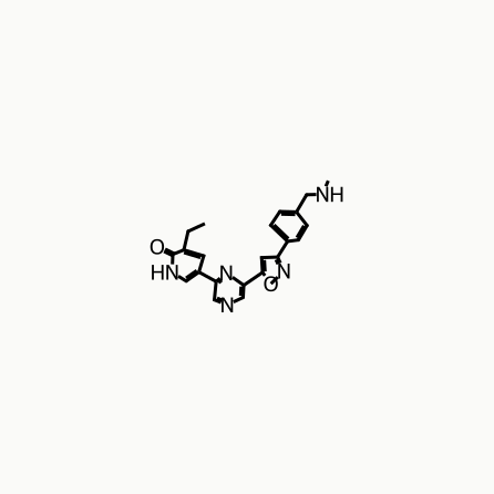 CCc1cc(-c2cncc(-c3cc(-c4ccc(CNC)cc4)no3)n2)c[nH]c1=O